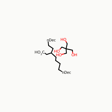 CCCCCCCCCCCCCCC(CCCCCCCCCCCC)CC(=O)O.OCC(CO)(CO)CO